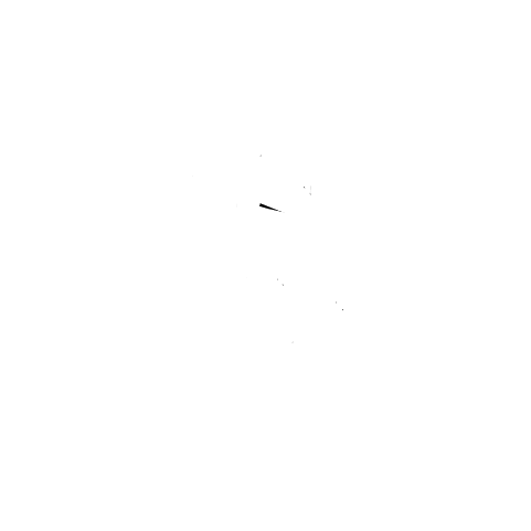 CCCC[C@@H](/N=C\C1CCCCC1)c1cnc(-c2ccccc2)n1CCCC